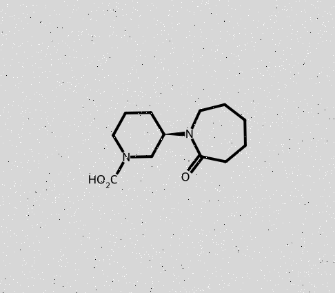 O=C(O)N1CCC[C@@H](N2CCCCCC2=O)C1